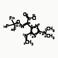 C=Nc1sc(N(C)C)nc1C(=NOC(F)(F)F)C(=O)Cl